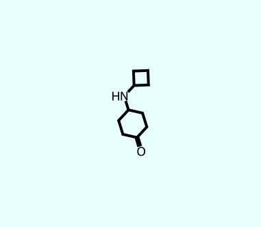 O=C1CCC(NC2CCC2)CC1